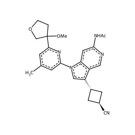 COC1(c2cc(C)cc(-n3cc([C@H]4C[C@H](C#N)C4)c4cnc(NC(C)=O)cc43)n2)CCOC1